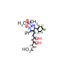 CC(C)c1nc(N(C)S(C)(=O)=O)nc(-c2ccc(F)cc2)c1/C=C/[C@@H](O)C[C@H](O)CCC(=O)O